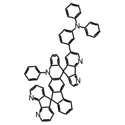 c1ccc(N(c2ccccc2)c2cccc(-c3cnc4c(c3)C3(c5ccccc5N(c5ccccc5)c5cc6c(cc53)-c3ccccc3C63c5cccnc5-c5ncccc53)c3cccnc3-4)c2)cc1